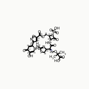 CC(C)(O/N=C(\C(=O)N[C@@H]1C(=O)N(S(=O)(=O)O)[C@@H]1COC(=O)c1cc(-c2cc(=O)c(O)c[nH]2)no1)C1CSC(N)=N1)C(=O)O